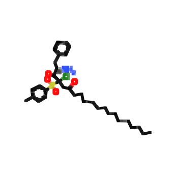 CCCCCCCCCCCCCCC(=O)CC(Cl)(C(=O)[C@@H](N)Cc1ccccc1)S(=O)(=O)c1ccc(C)cc1